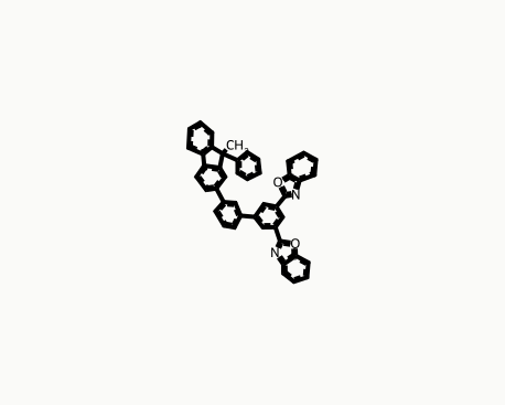 CC1(c2ccccc2)c2ccccc2-c2ccc(-c3cccc(-c4cc(-c5nc6ccccc6o5)cc(-c5nc6ccccc6o5)c4)c3)cc21